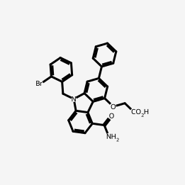 NC(=O)c1cccc2c1c1c(OCC(=O)O)cc(-c3ccccc3)cc1n2Cc1ccccc1Br